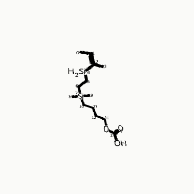 CC=C(C)[SiH2]CC[Si](C)(C)CCCCOC(=O)O